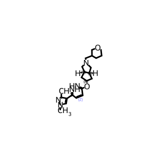 Cc1nn(C)cc1C(=N)/C=C\C(=N)O[C@@H]1C[C@@H]2CN(CC3CCCOC3)C[C@@H]2C1